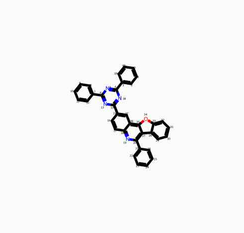 c1ccc(-c2nc(-c3ccccc3)nc(-c3ccc4nc(-c5ccccc5)c5c6ccccc6oc5c4c3)n2)cc1